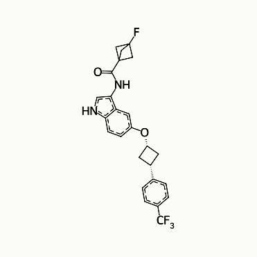 O=C(Nc1c[nH]c2ccc(O[C@H]3C[C@@H](c4ccc(C(F)(F)F)cc4)C3)cc12)C12CC(F)(C1)C2